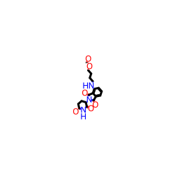 O=COCCCCNc1cccc2c1C(=O)N(C1CCC(=O)NC1=O)C2=O